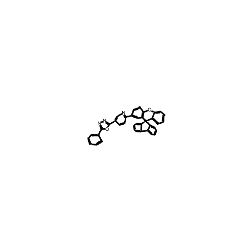 c1ccc(-c2nnc(-c3ccc(-c4ccc5c(c4)C4(c6ccccc6O5)c5ccccc5-c5ccccc54)nc3)o2)cc1